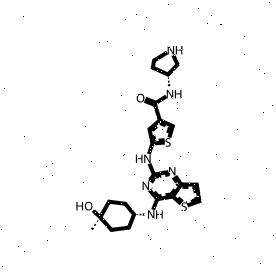 C[C@]1(O)CC[C@H](Nc2nc(Nc3cc(C(=O)N[C@@H]4CCNC4)cs3)nc3ccsc23)CC1